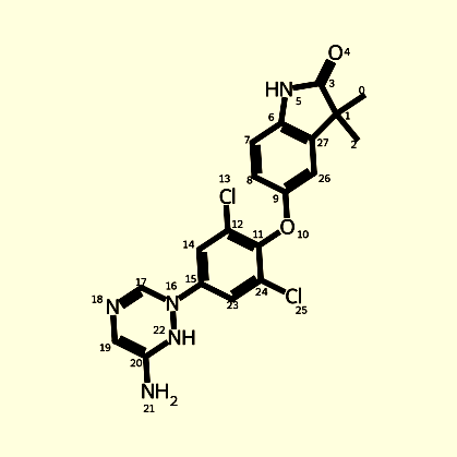 CC1(C)C(=O)Nc2ccc(Oc3c(Cl)cc(N4C=NC=C(N)N4)cc3Cl)cc21